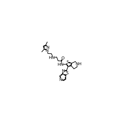 Cc1cc(C)n(CCNCCC(=O)Nc2sc3c(c2-c2nc4cnccc4s2)CCNC3)n1